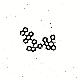 c1ccc(-c2oc3ccccc3c2-c2c3ccccc3c(-c3ccc(-c4ccc5ccccc5c4-c4cccc(-c5c6ccccc6c(-c6cccc7ccccc67)c6ccccc56)c4)cc3)c3ccccc23)cc1